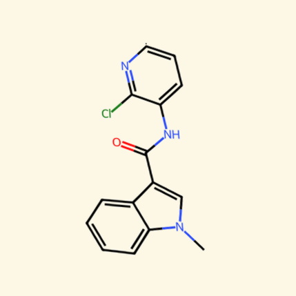 Cn1cc(C(=O)Nc2cc[c]nc2Cl)c2ccccc21